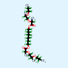 O=C(OC(F)(F)C(F)(F)C(F)(F)C(F)(F)C(F)(F)C(F)(F)OC(=O)C(F)(OC(F)(F)C(F)(OC(F)(F)C(F)(F)C(F)(F)F)C(F)(F)F)C(F)(F)F)C(F)(OC(F)(F)C(F)(OC(F)(F)C(F)(F)C(F)(F)F)C(F)(F)F)C(F)(F)F